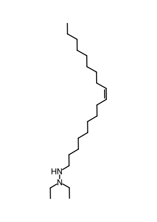 CCCCCCCC/C=C\CCCCCCCCNN(CC)CC